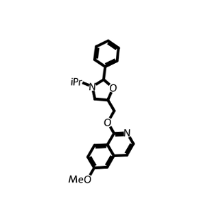 COc1ccc2c(OCC3CN(C(C)C)C(c4ccccc4)O3)nccc2c1